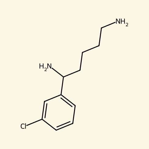 NCCCCC(N)c1cccc(Cl)c1